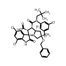 CC(C)(C)CN(C(=O)[C@H]1[C@H]2C[C@](C)(OCc3ccccc3)CN2[C@]2(C(=O)Nc3c(Cl)cc(Cl)cc32)[C@H]1C(=O)O)c1cc(Cl)cc(Cl)c1